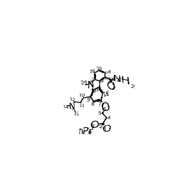 CCCOC(=O)CCOc1cc(CCCN(C)C)c2c(c1)c1c(C(N)=O)cccc1n2C